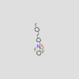 Fc1ccc(C=Cc2ccc(C3COC(c4c(F)cccc4F)=N3)cc2)cc1